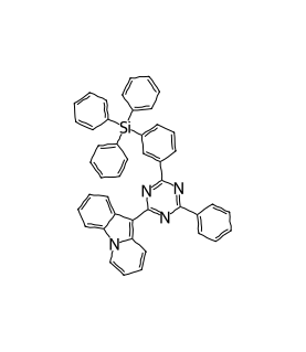 c1ccc(-c2nc(-c3cccc([Si](c4ccccc4)(c4ccccc4)c4ccccc4)c3)nc(-c3c4ccccc4n4ccccc34)n2)cc1